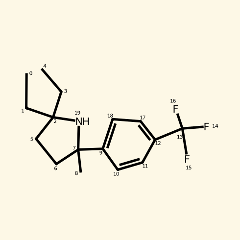 CCC1(CC)CCC(C)(c2ccc(C(F)(F)F)cc2)N1